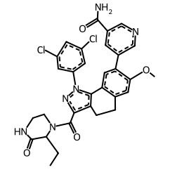 CCC1C(=O)NCCN1C(=O)c1nn(-c2cc(Cl)cc(Cl)c2)c2c1CCc1cc(OC)c(-c3cncc(C(N)=O)c3)cc1-2